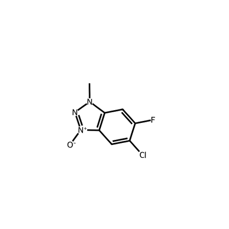 Cn1n[n+]([O-])c2cc(Cl)c(F)cc21